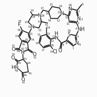 Cc1nc(Nc2ncc(C(=O)Nc3c(C)cccc3Cl)s2)cc(N2CCC(CN3C(C)CN(c4cc5c(cc4F)C(=O)N(C4CCC(=O)NC4=O)C5=O)CC3C)CC2)n1